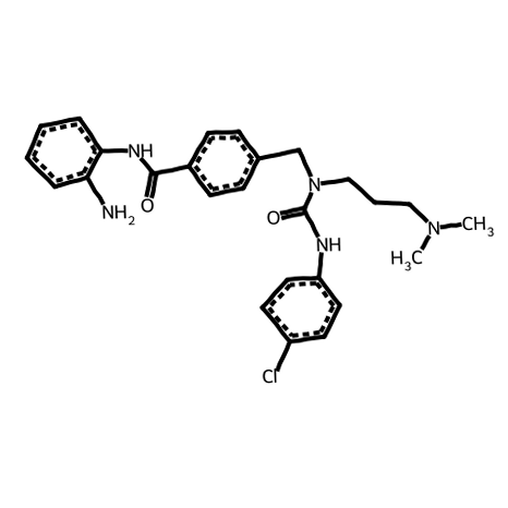 CN(C)CCCN(Cc1ccc(C(=O)Nc2ccccc2N)cc1)C(=O)Nc1ccc(Cl)cc1